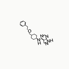 c1ccc(CCOCC2CCC(Nc3ncnc4[nH]ncc34)CC2)cc1